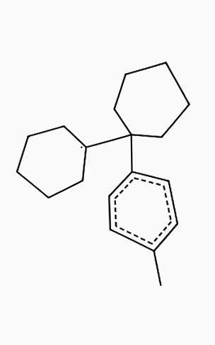 Cc1ccc(C2([C]3CCCCC3)CCCCC2)cc1